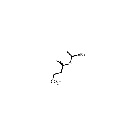 CCCCC(C)OC(=O)CCC(=O)O